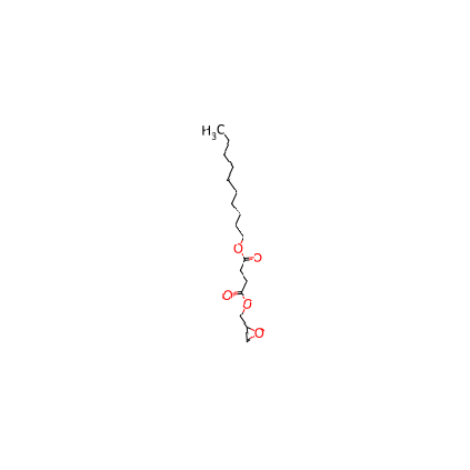 CCCCCCCCCCOC(=O)CCC(=O)OCC1CO1